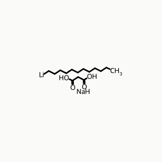 O=C(O)CC(=O)O.[Li][CH2]CCCCCCCCCCC.[NaH]